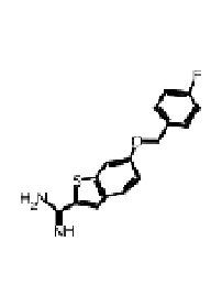 N=C(N)c1cc2ccc(OCc3ccc(F)cc3)cc2s1